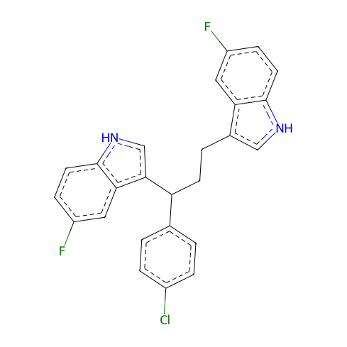 Fc1ccc2[nH]cc(CCC(c3ccc(Cl)cc3)c3c[nH]c4ccc(F)cc34)c2c1